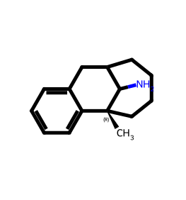 C[C@@]12CCCCC(Cc3ccccc31)C2N